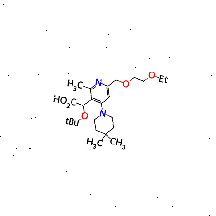 CCOCCOCc1cc(N2CCC(C)(C)CC2)c(C(OC(C)(C)C)C(=O)O)c(C)n1